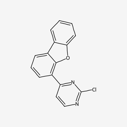 Clc1nccc(-c2cccc3c2oc2ccccc23)n1